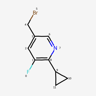 Fc1cc(CBr)cnc1C1CC1